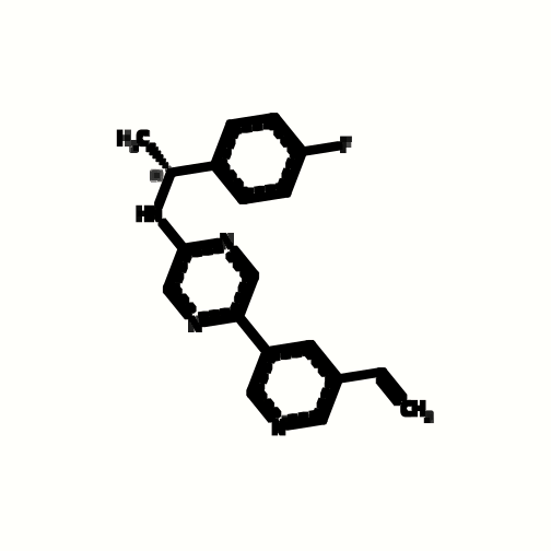 C=Cc1cncc(-c2cnc(N[C@H](C)c3ccc(F)cc3)cn2)c1